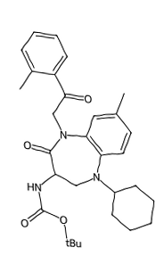 Cc1ccc2c(c1)N(CC(=O)c1ccccc1C)C(=O)C(NC(=O)OC(C)(C)C)CN2C1CCCCC1